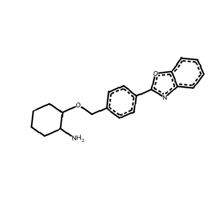 NC1CCCCC1OCc1ccc(-c2nc3ccccc3o2)cc1